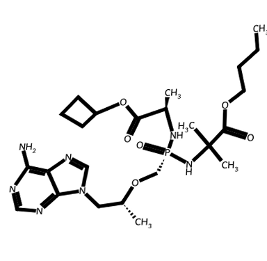 CCCCOC(=O)C(C)(C)N[P@](=O)(CO[C@H](C)Cn1cnc2c(N)ncnc21)N[C@H](C)C(=O)OC1CCC1